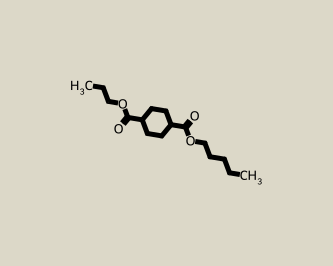 CCCCCOC(=O)C1CCC(C(=O)OCCC)CC1